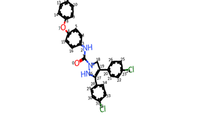 O=C(Nc1ccc(Oc2ccc(F)cc2)cc1)N1CC(c2ccc(Cl)cc2)=C(c2ccc(Cl)cc2)N1